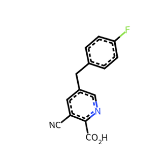 N#Cc1cc(Cc2ccc(F)cc2)cnc1C(=O)O